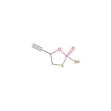 C#CC1CSP(=O)(S)O1